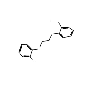 O=C(O)c1ccccc1SCCSc1ccccc1C(=O)O